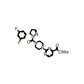 COC(=O)c1ccnc(N2CCN(C(=O)N3N=CC[C@H]3c3cc(F)cc(F)c3)CC2)n1